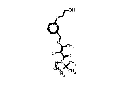 C=NN(C(=O)/C(Cl)=C(\C)OCc1cccc(OCCO)c1)C(C)(C)C